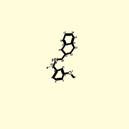 COc1cccc([C@H](C)NCC2CCc3ccccc3C2)c1